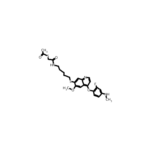 CNc1ccc(Oc2ccnc3cc(SCCCCCNC(=O)CSC(C)=O)c(OC)cc23)c(F)c1